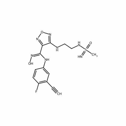 C#Cc1cc(N/C(=N\O)c2nonc2NCCNS(C)(=N)=O)ccc1F